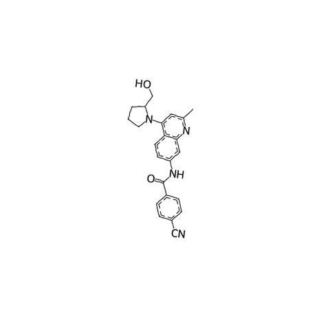 Cc1cc(N2CCCC2CO)c2ccc(NC(=O)c3ccc(C#N)cc3)cc2n1